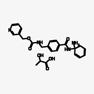 CC(O)C(=O)O.NC1(NC(=O)c2ccc(CNC(=O)OCc3cccnc3)cc2)C=CC=CC1